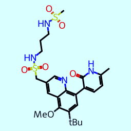 COc1c(C(C)(C)C)cc(-c2ccc(C)[nH]c2=O)c2ncc(CS(=O)(=O)NCCCNS(C)(=O)=O)cc12